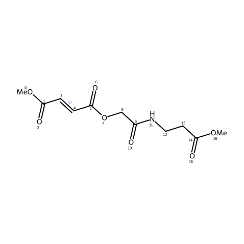 COC(=O)/C=C/C(=O)OCC(=O)NCCC(=O)OC